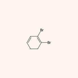 BrC1=C(Br)C[CH]C=C1